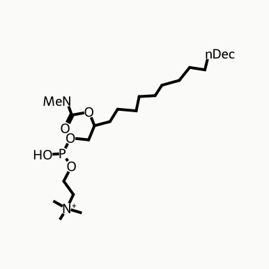 CCCCCCCCCCCCCCCCCCCC(COP(O)OCC[N+](C)(C)C)OC(=O)NC